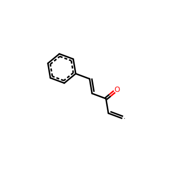 [CH]=CC(=O)C=Cc1ccccc1